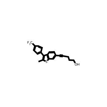 Cc1sc2cc(C#CCCCO)ccc2c1-c1ccc(C(F)(F)F)cc1